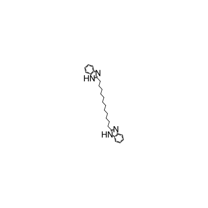 c1ccc2[nH]c(CCCCCCCCCCCCc3nc4ccccc4[nH]3)nc2c1